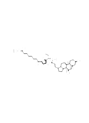 CC[C@@H](NC(=O)C[C@@H](C)C1CC[C@H]2[C@@H]3C(=O)C[C@@H]4CC(=O)CC[C@]4(C)[C@H]3CC[C@]12C)c1ccc(C(=O)CCCCCCC(=O)O)s1